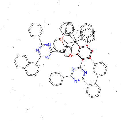 c1ccc(-c2nc(-c3ccccc3-c3cccc(-c4ccc5c(c4)-c4ccccc4C54c5ccccc5Oc5c(-c6nc(-c7ccccc7)nc(-c7cccc8ccccc78)n6)cccc54)c3)nc(-c3cccc4c3Oc3ccccc3C43c4ccccc4-c4ccccc43)n2)cc1